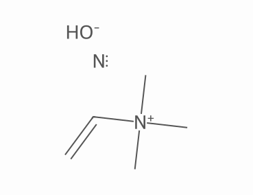 C=C[N+](C)(C)C.[N].[OH-]